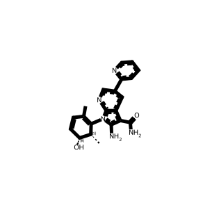 CC1=C(n2c(N)c(C(N)=O)c3cc(-c4ccccn4)cnc32)[C@H](C)[C@H](O)C=C1